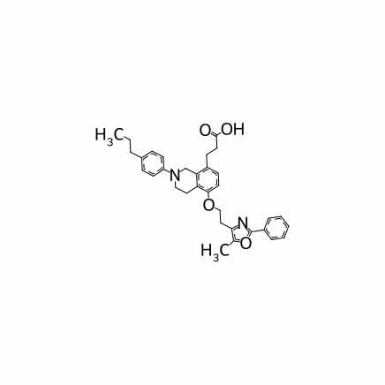 CCCc1ccc(N2CCc3c(OCCc4nc(-c5ccccc5)oc4C)ccc(CCC(=O)O)c3C2)cc1